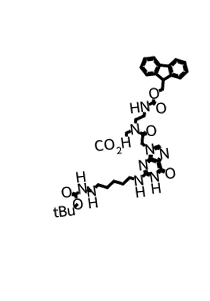 CC(C)(C)OC(=O)NNCCCCCNc1nc2c(ncn2CC(=O)N(CCNC(=O)OCC2c3ccccc3-c3ccccc32)CC(=O)O)c(=O)[nH]1